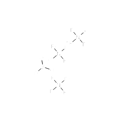 F[N+](F)(F)F.F[N+](F)(F)F.F[N+](F)(F)F.[O-]B([O-])[O-]